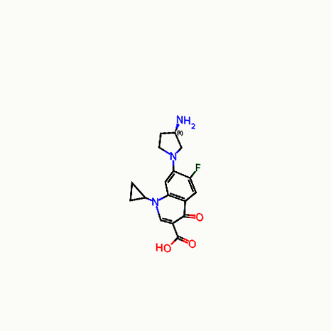 N[C@@H]1CCN(c2cc3c(cc2F)c(=O)c(C(=O)O)cn3C2CC2)C1